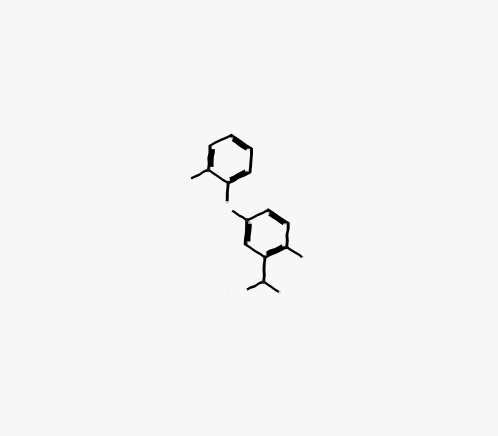 CC(Br)c1cc(Oc2ccccc2F)ccc1Br